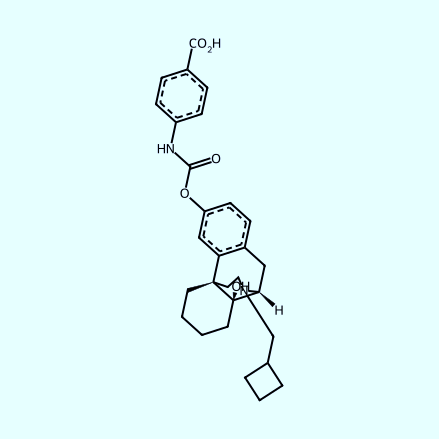 O=C(Nc1ccc(C(=O)O)cc1)Oc1ccc2c(c1)[C@@]13CCCC[C@@]1(O)[C@@H](C2)N(CC1CCC1)CC3